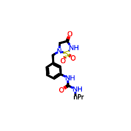 CCCNC(=O)Nc1cccc(CN2CC(=O)NS2(=O)=O)c1